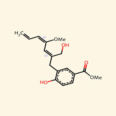 C=C/C=C(\C=C(/CO)Cc1cc(C(=O)OC)ccc1O)OC